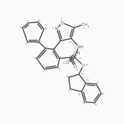 Cc1onc(-c2c(C(=O)O)cccc2-c2ccccc2)c1NC(=O)OC1CCc2ccccc21